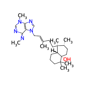 CN=c1ncn(C)c2ncn(C/C=C(\C)CC[C@@]3(C)[C@H](C)CC[C@]4(O)[C@@H]3CCCC4(C)C)c12